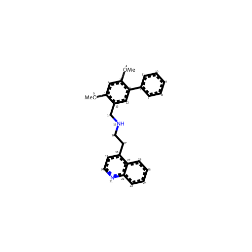 COc1cc(OC)c(-c2ccccc2)cc1CNCCc1ccnc2ccccc12